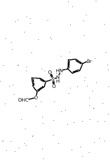 O=COc1cccc(S(=O)(=O)NNc2ccc(Br)cc2)c1